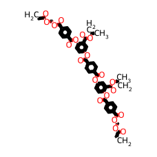 C=CC(=O)OCOC(=O)c1ccc(C(=O)Oc2ccc(OC(=O)C3CCC(C(=O)Oc4ccc(OC(=O)c5ccc(C(=O)OCOC(=O)C=C)cc5)c(C(=O)OC(=C)C)c4)CC3)cc2C(=O)OC(=C)C)cc1